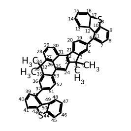 CC1(C)c2cc(-c3cccc4c3C3C=CC=CC3S4)ccc2-c2c1cc1c3c(cccc23)C(C)(C)c2cc(-c3cccc4sc5ccccc5c34)ccc2-1